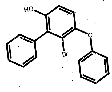 Oc1c[c]c(Oc2ccccc2)c(Br)c1-c1ccccc1